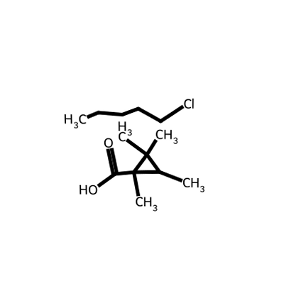 CC1C(C)(C)C1(C)C(=O)O.CCCCCCl